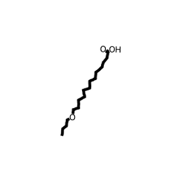 CCCCOCCCCCCCCCCCCC(=O)O